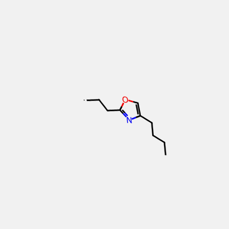 [CH2]CCc1nc(CCCC)co1